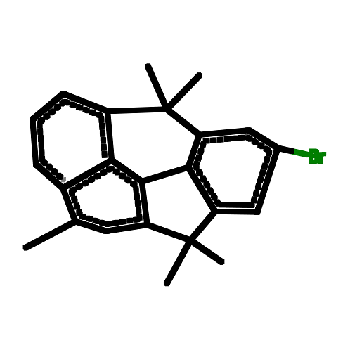 Cc1cc2c3c4c(cccc14)C(C)(C)c1cc(Br)cc(c1-3)C2(C)C